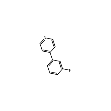 Fc1cccc(-c2c[c]ncc2)c1